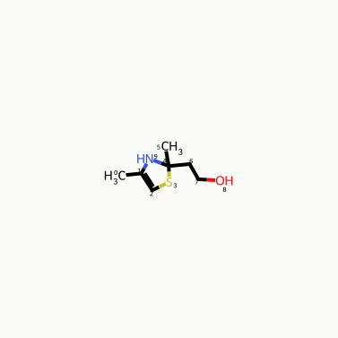 CC1=CSC(C)(CCO)N1